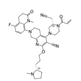 C=CC(=O)N1CCN(c2c(C#N)c(OCCC[C@@H]3CCCN3C)nc3c2CCN(c2ccc(F)c4c2N(C)C(=O)CC4)C3)C[C@@H]1CC#N